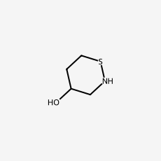 OC1CCSNC1